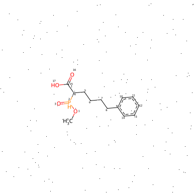 CO[PH](=O)C(CCCCc1ccccc1)C(=O)O